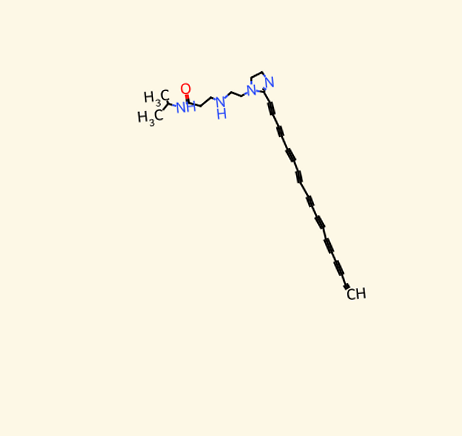 C#CC#CC#CC#CC#CC#CC#CC#CC#CC1=NCCN1CCNCCC(=O)NC(C)C